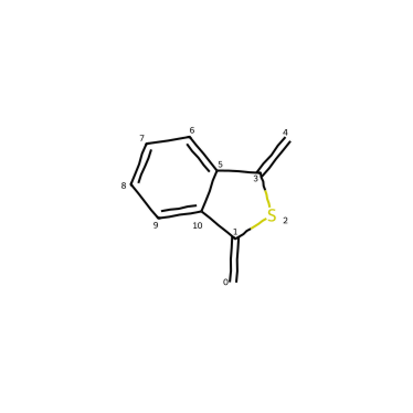 C=c1sc(=C)c2ccccc12